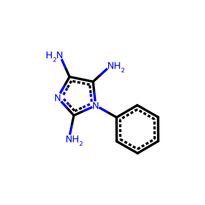 Nc1nc(N)n(-c2ccccc2)c1N